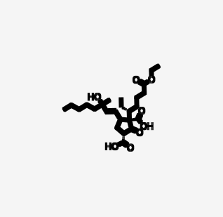 CCCCCC(C)(O)C=CC1C[C@@H](C(=O)O)C(=O)[C@@]1(C(=O)O)[C@H](CC)CCCC(=O)OCC